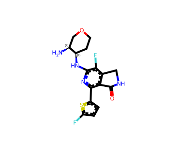 N[C@H]1COCC[C@H]1Nc1nc(-c2ccc(F)s2)c2c(c1F)CNC2=O